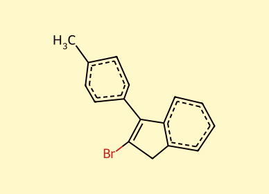 Cc1ccc(C2=C(Br)Cc3ccccc32)cc1